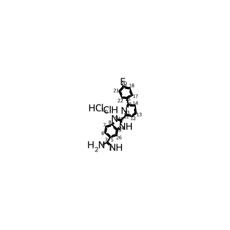 Cl.Cl.N=C(N)c1ccc2nc(-c3cccc(-c4ccc(F)cc4)n3)[nH]c2c1